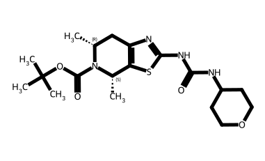 C[C@@H]1Cc2nc(NC(=O)NC3CCOCC3)sc2[C@H](C)N1C(=O)OC(C)(C)C